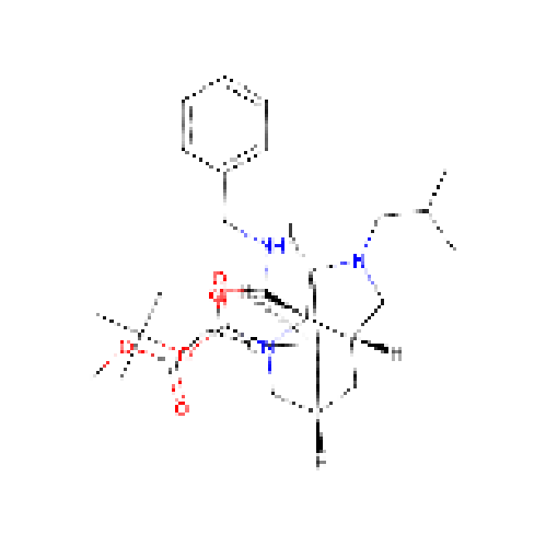 COC(=O)CC[C@@H]1[C@@H]2C[C@H]3CN(CC(C)C)[C@@H]1[C@@]3(C(=O)NCc1ccccc1)N(C(=O)OC(C)(C)C)C2